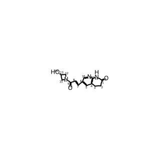 O=C1CCc2cc(/C=C/C(=O)N3CC(O)C3)cnc2N1